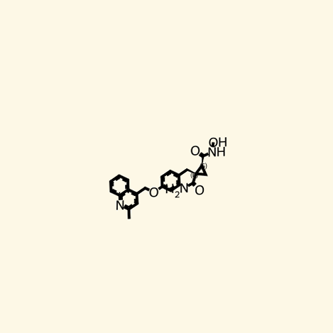 Cc1cc(COc2ccc(C[C@]3(C(N)=O)C[C@@H]3C(=O)NO)cc2)c2ccccc2n1